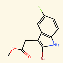 COC(=O)Cc1c(Br)[nH]c2ccc(F)cc12